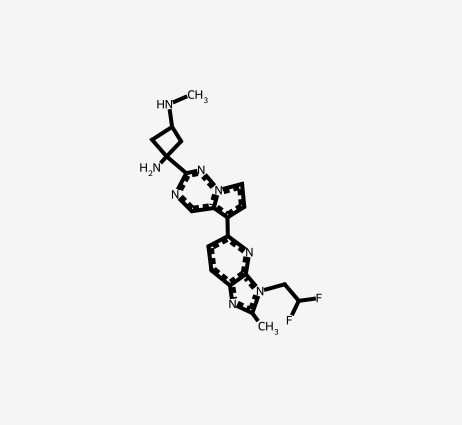 CNC1CC(N)(c2ncc3c(-c4ccc5nc(C)n(CC(F)F)c5n4)ccn3n2)C1